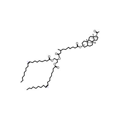 CCCCCCCC/C=C\CCCCCCCC(=O)OCC(COC(=O)CCCCCCC/C=C\CCCCCCCC)OC(=O)CC(C)CCCCCCC(=O)O[C@H]1CC[C@@]2(C)C(CC[C@@H]3C2CC[C@@]2(C)C3CC[C@@H]2C(C)=O)C1